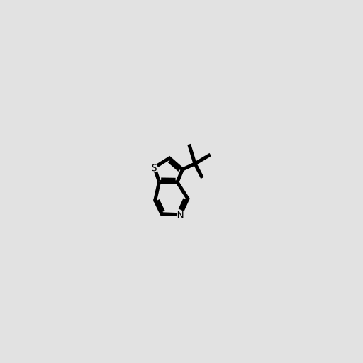 CC(C)(C)c1csc2ccncc12